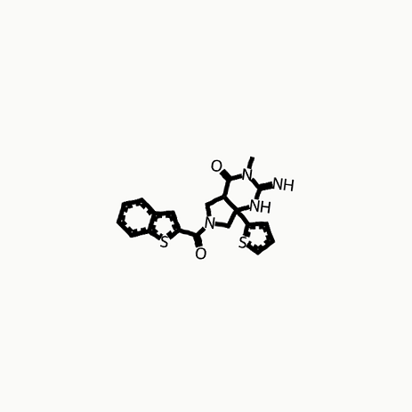 CN1C(=N)NC2(c3cccs3)CN(C(=O)c3cc4ccccc4s3)CC2C1=O